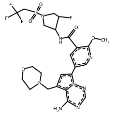 COc1ncc(-c2cc(CN3CCOCC3)c3c(N)ncnn23)cc1C(=O)NC1CN(S(=O)(=O)CC(F)(F)F)CC1F